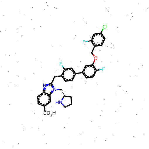 O=C(O)c1ccc2nc(Cc3ccc(-c4ccc(F)c(OCc5ccc(Cl)cc5F)c4)cc3F)n(C[C@@H]3CCCN3)c2c1